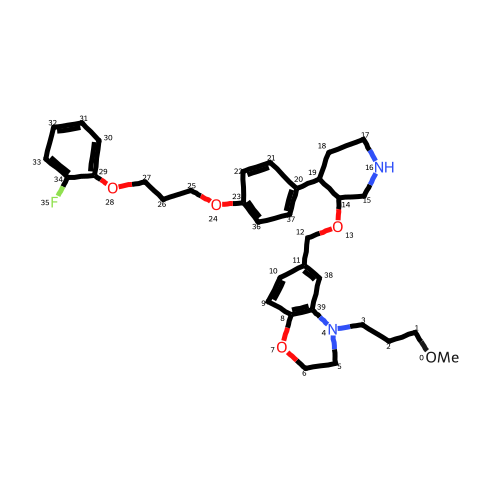 COCCCN1CCOc2ccc(COC3CNCCC3c3ccc(OCCCOc4ccccc4F)cc3)cc21